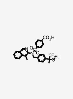 CCOC(C)(c1ccc(CN(c2ncc3ccccc3c2C)S(=O)(=O)c2ccc(C(=O)O)cc2)cc1)C(F)(F)F